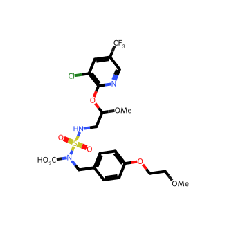 COCCOc1ccc(CN(C(=O)O)S(=O)(=O)NCC(OC)Oc2ncc(C(F)(F)F)cc2Cl)cc1